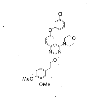 COc1ccc(CCOc2nc(N3CCOCC3)c3cc(Oc4cccc(Cl)c4)ccc3n2)cc1OC